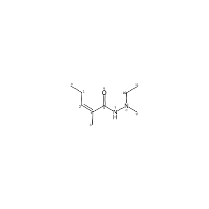 CCC=C(C)C(=O)NN(C)CC